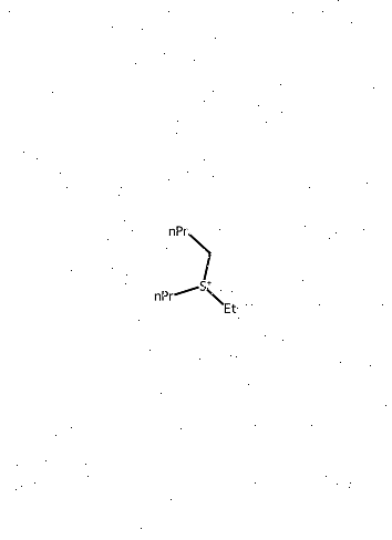 CCCC[S+](CC)CCC